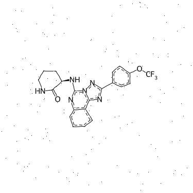 O=C1NCCC[C@H]1Nc1nc2ccccc2c2nc(-c3ccc(OC(F)(F)F)cc3)nn12